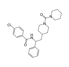 O=C(NC(CC1CCN(C(=O)N2CCCCC2)CC1)c1ccccc1)c1ccc(Cl)cc1